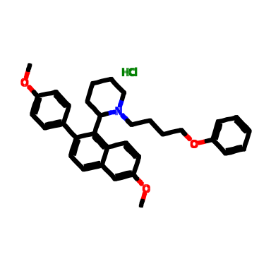 COc1ccc(-c2ccc3cc(OC)ccc3c2C2CCCCN2CCCCOc2ccccc2)cc1.Cl